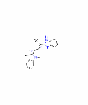 CN1/C(=C\C=C(/C#N)c2nc3ccccc3[nH]2)C(C)(C)c2ccccc21